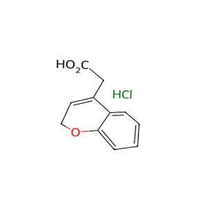 Cl.O=C(O)CC1=CCOc2ccccc21